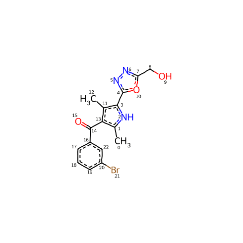 Cc1[nH]c(-c2nnc(CO)o2)c(C)c1C(=O)c1cccc(Br)c1